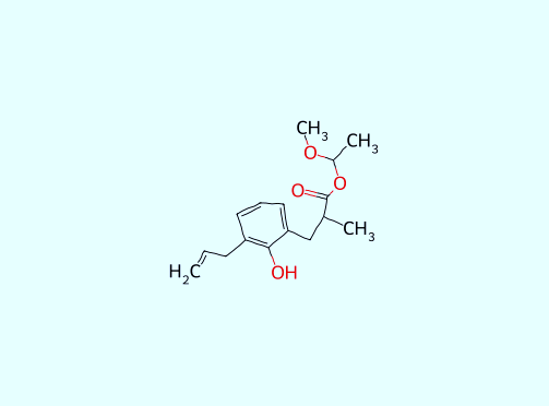 C=CCc1cccc(CC(C)C(=O)OC(C)OC)c1O